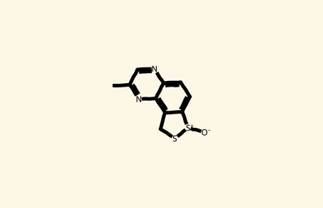 Cc1cnc2ccc3c(c2n1)CS[S+]3[O-]